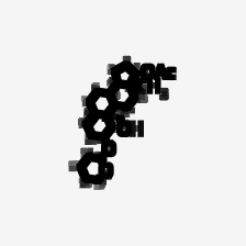 CC(=O)O[C@H]1CCC2C3CCC4=CCC(OC5CCCCO5)C[C@]4(CO)C3CC[C@@]21C